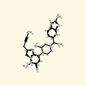 CC#CCc1cn2c(n1)c(N1CCN(C(C)c3ccc4nc(C)sc4n3)CC1CC)cc(=O)n2C